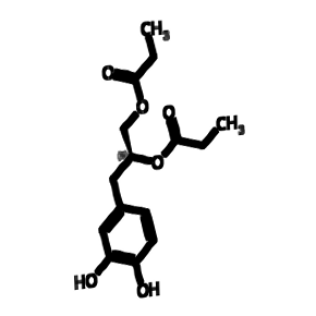 CCC(=O)OC[C@H](Cc1ccc(O)c(O)c1)OC(=O)CC